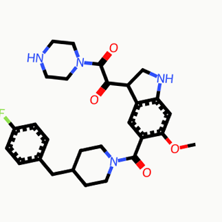 COc1cc2c(cc1C(=O)N1CCC(Cc3ccc(F)cc3)CC1)C(C(=O)C(=O)N1CCNCC1)CN2